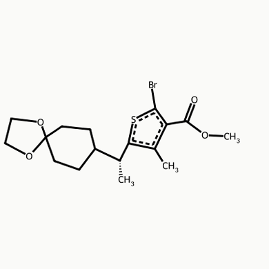 COC(=O)c1c(Br)sc([C@H](C)C2CCC3(CC2)OCCO3)c1C